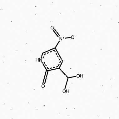 O=c1[nH]cc([N+](=O)[O-])cc1C(O)O